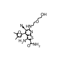 Cc1cc(-c2c(C#N)c(NCCOCCO)nc3sc(C(N)=O)c(N)c23)oc1C